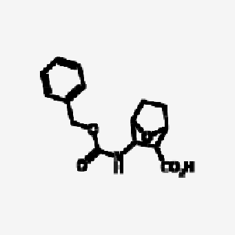 O=C(NC1C2CCC(O2)C1C(=O)O)OCc1ccccc1